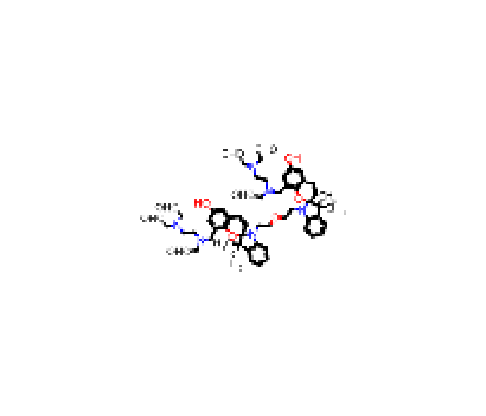 CC1(C)c2ccccc2N(CCOCCN2c3ccccc3C(C)(C)C23C=Cc2cc(O)cc(CN(CC=O)CCN(CC=O)CC=O)c2O3)C12C=Cc1cc(O)cc(CN(CC=O)CCN(CC=O)CC=O)c1O2